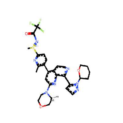 Cc1nc(/S(C)=N/C(=O)C(F)(F)F)ccc1-c1cc(N2CCOC[C@H]2C)nc2c(-c3ccnn3C3CCCCO3)nccc12